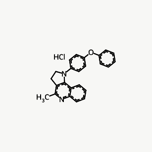 Cc1nc2ccccc2c2c1CCN2c1ccc(Oc2ccccc2)cc1.Cl